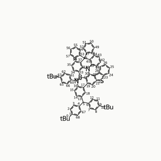 CC(C)(C)c1ccc(C(c2ccc(C(C)(C)C)cc2)c2ccc3c(c2)-c2cc4sc5ccccc5c4c4c2B(c2cccc5c2N4c2ccccc2C5(c2ccccc2)c2ccccc2)N3c2ccc(C(C)(C)C)cc2)cc1